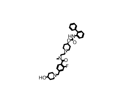 CN(CCN1CCC(OC(=O)Nc2ccccc2-c2ccccc2)CC1)C(=O)c1ccc(CN2CCC(O)CC2)cc1F